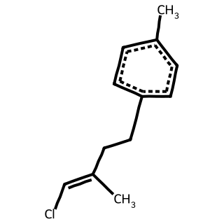 C/C(=C\Cl)CCc1ccc(C)cc1